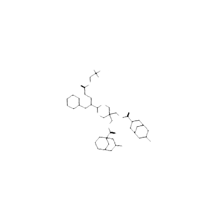 CC1CC2CC(C1)CC(C(=O)OCC1(COC(=O)C34CCCC(CC(C)C3)C4)COC(C(CCC(=O)OCC(F)(F)S(=O)(=O)O)CC3CCCCC3)OC1)C2